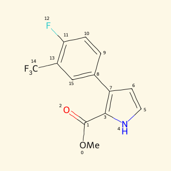 COC(=O)c1[nH]ccc1-c1ccc(F)c(C(F)(F)F)c1